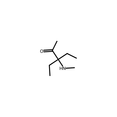 CCC(CC)(NC)C(C)=O